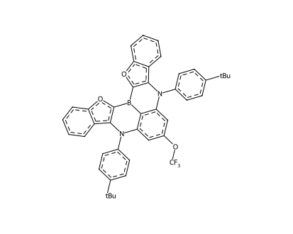 CC(C)(C)c1ccc(N2c3cc(OC(F)(F)F)cc4c3B(c3oc5ccccc5c32)c2oc3ccccc3c2N4c2ccc(C(C)(C)C)cc2)cc1